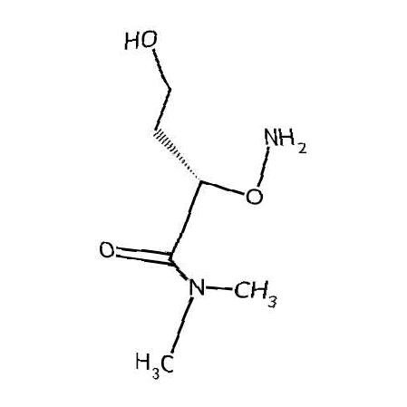 CN(C)C(=O)[C@H](CCO)ON